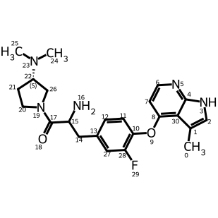 Cc1c[nH]c2nccc(Oc3ccc(CC(N)C(=O)N4CC[C@H](N(C)C)C4)cc3F)c12